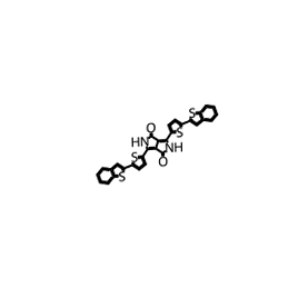 O=C1NC(c2ccc(-c3cc4ccccc4s3)s2)=C2C(=O)NC(c3ccc(-c4cc5ccccc5s4)s3)=C12